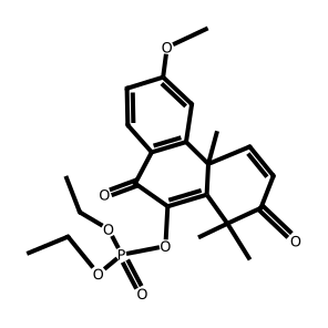 CCOP(=O)(OCC)OC1=C2C(C)(C)C(=O)C=CC2(C)c2cc(OC)ccc2C1=O